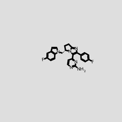 Nc1nccc(-c2c(-c3ccc(F)cc3)nc3n2[C@H](Cn2ccc4cc(F)ccc42)CC3)n1